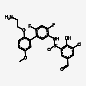 COc1ccc(OCCN)c(-c2cc(N[S+]([O-])c3cc(C=O)cc(Cl)c3O)c(F)cc2F)c1